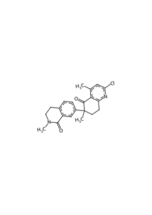 Cc1cc(Cl)nc2c1C(=O)C(C)(c1ccc3c(c1)C(=O)N(C)CC3)CC2